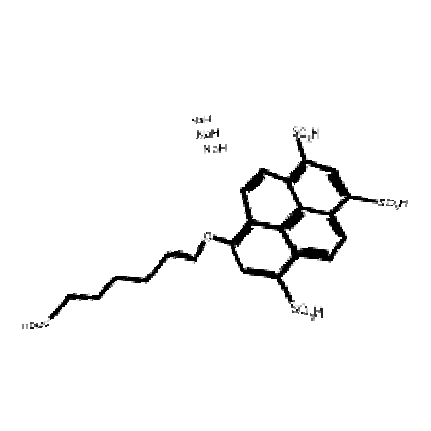 CCCCCCCCCCCCCCCCOc1cc(S(=O)(=O)O)c2ccc3c(S(=O)(=O)O)cc(S(=O)(=O)O)c4ccc1c2c43.[NaH].[NaH].[NaH]